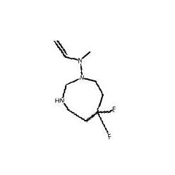 C=CN(C)N1CCC(F)(F)CCNC1